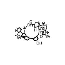 CCn1c(-c2cccnc2[C@H](C)OC)c2c3cc(ccc31)-c1cc(O)cc(c1)C[C@H](NC(=O)[C@H](C(C)C)N(C)C(=O)CN(C)S(=O)(=O)[C@@H]1CN1C)C(=O)N1CCC[C@H](N1)C(=O)OCC(C)(C)C2